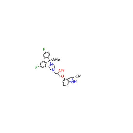 COC(c1ccc(F)cc1)(c1ccc(F)cc1)N1CCN(CC(O)COc2cccc3[nH]c(C#N)cc23)CC1